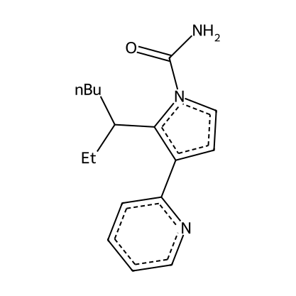 CCCCC(CC)c1c(-c2ccccn2)ccn1C(N)=O